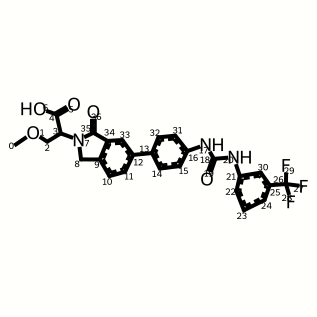 COCC(C(=O)O)N1Cc2ccc(-c3ccc(NC(=O)Nc4cccc(C(F)(F)F)c4)cc3)cc2C1=O